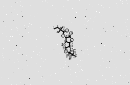 CCC(C)(C)C(=O)OC1C(=O)OC2C3OC(F)(C(F)(F)F)OC3OC12